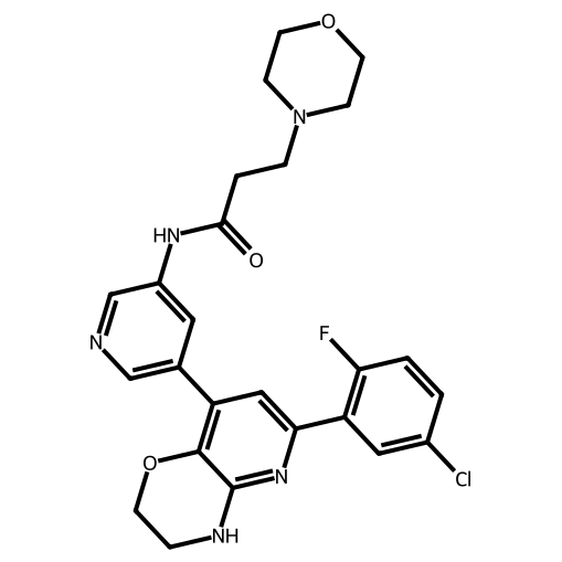 O=C(CCN1CCOCC1)Nc1cncc(-c2cc(-c3cc(Cl)ccc3F)nc3c2OCCN3)c1